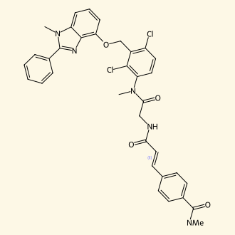 CNC(=O)c1ccc(/C=C/C(=O)NCC(=O)N(C)c2ccc(Cl)c(COc3cccc4c3nc(-c3ccccc3)n4C)c2Cl)cc1